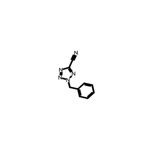 N#Cc1nnn(Cc2ccccc2)n1